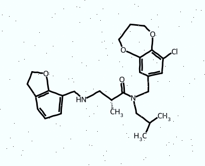 CC(C)CN(Cc1cc(Cl)c2c(c1)OCCCO2)C(=O)[C@H](C)CNCc1cccc2c1OCC2